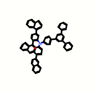 c1ccc(-c2cc(-c3ccccc3)cc(-c3ccc(N(c4ccc(-c5ccc6ccccc6c5)cc4)c4cc(-c5cccc6ccccc56)ccc4-c4cccc5ccccc45)cc3)c2)cc1